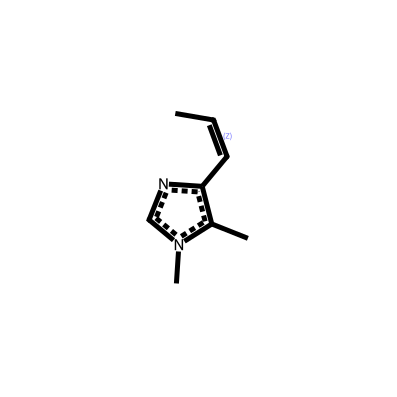 C/C=C\c1ncn(C)c1C